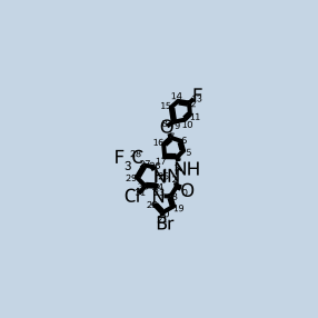 O=C(NNc1ccc(Oc2ccc(F)cc2)cc1)c1cc(Br)cn1-c1ncc(C(F)(F)F)cc1Cl